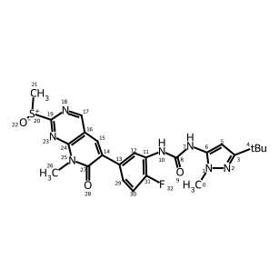 Cn1nc(C(C)(C)C)cc1NC(=O)Nc1cc(-c2cc3cnc([S+](C)[O-])nc3n(C)c2=O)ccc1F